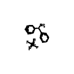 F[B-](F)(F)F.[SH2+]C(c1ccccc1)c1ccccc1